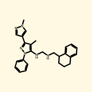 Cc1c(-c2cnn(C)c2)nn(-c2ccccc2)c1NCNCC1CCCc2ccccc21